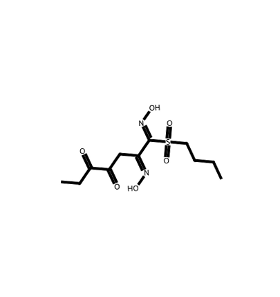 CCCCS(=O)(=O)C(=N\O)/C(CC(=O)C(=O)CC)=N/O